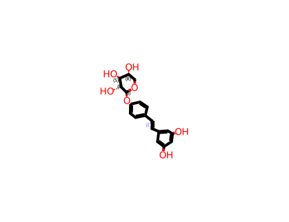 Oc1cc(O)cc(/C=C/c2ccc(O[C@@H]3OC[C@@H](O)[C@H](O)[C@H]3O)cc2)c1